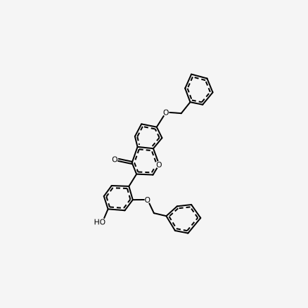 O=c1c(-c2ccc(O)cc2OCc2ccccc2)coc2cc(OCc3ccccc3)ccc12